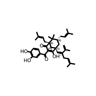 C=C(C)/C(=C\[C@@]12C[C@@H](CC=C(C)C)C(C)(C)[C@@](CC=C(C)C)(C(=O)C(C(=O)c3ccc(O)c(O)c3)=C1O)C2=O)CC=C(C)C